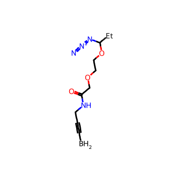 BC#CCNC(=O)COCCOC(CC)N=[N+]=[N-]